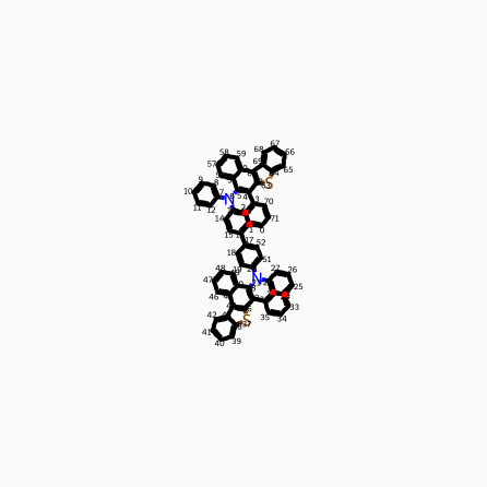 c1ccc(-c2c(N(c3ccccc3)c3ccc(-c4ccc(N(c5ccccc5)c5c(-c6ccccc6)c6sc7ccccc7c6c6ccccc56)cc4)cc3)c3ccccc3c3c2sc2ccccc23)cc1